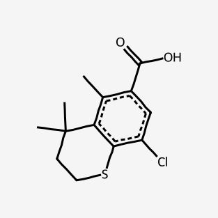 Cc1c(C(=O)O)cc(Cl)c2c1C(C)(C)CCS2